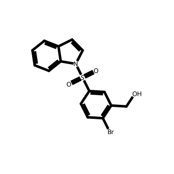 O=S(=O)(c1ccc(Br)c(CO)c1)n1ccc2ccccc21